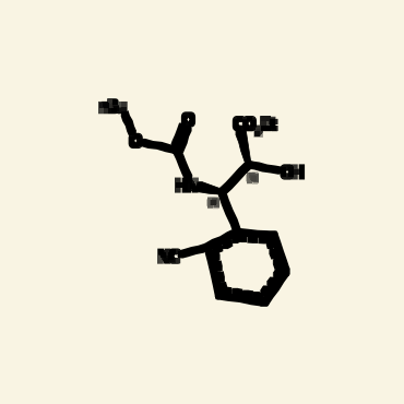 CCCCOC(=O)N[C@H](c1ccccc1C#N)[C@H](O)C(=O)OCC